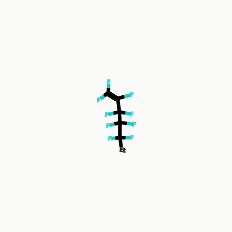 CCC(F)(F)C(F)(F)C(F)(F)C(F)=C(F)F